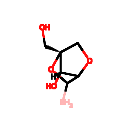 BC1O[C@@]2(CO)COC1[C@H]2O